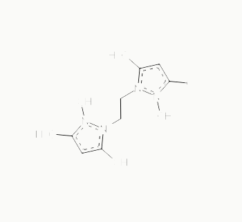 Cc1cc(C)[n+](CC[n+]2c(C)cc(C)n2C)n1C